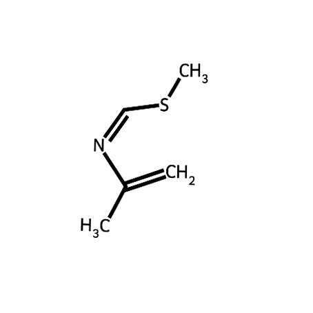 C=C(C)/N=C\SC